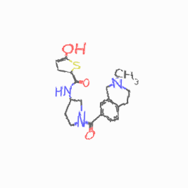 CN1CCc2ccc(C(=O)N3CCC(NC(=O)C4CC=C(O)S4)C3)cc2C1